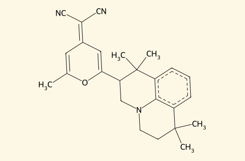 CC1=CC(=C(C#N)C#N)C=C(C2CN3CCC(C)(C)c4cccc(c43)C2(C)C)O1